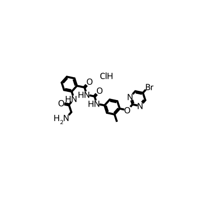 Cc1cc(NC(=O)NC(=O)c2ccccc2NC(=O)CN)ccc1Oc1ncc(Br)cn1.Cl